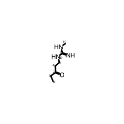 CCC(=O)CCNC(=N)NC